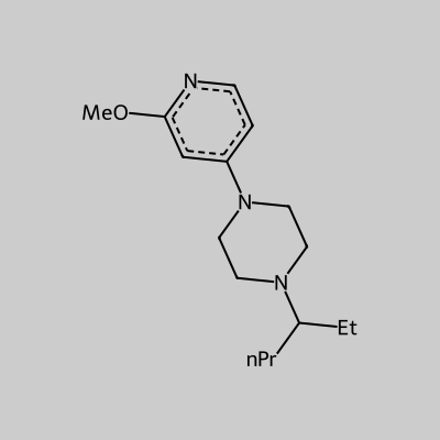 CCCC(CC)N1CCN(c2ccnc(OC)c2)CC1